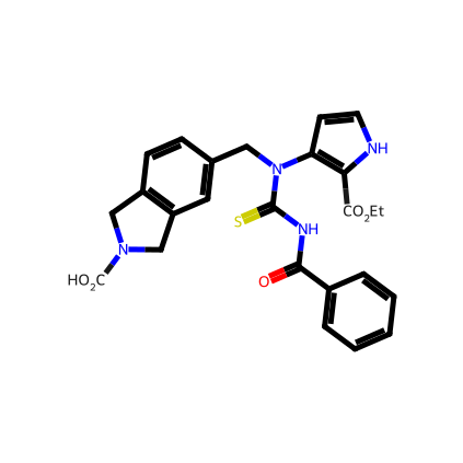 CCOC(=O)c1[nH]ccc1N(Cc1ccc2c(c1)CN(C(=O)O)C2)C(=S)NC(=O)c1ccccc1